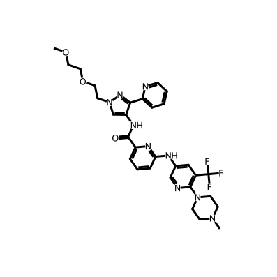 COCCOCCn1cc(NC(=O)c2cccc(Nc3cnc(N4CCN(C)CC4)c(C(F)(F)F)c3)n2)c(-c2ccccn2)n1